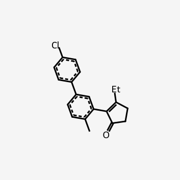 CCC1=C(c2cc(-c3ccc(Cl)cc3)ccc2C)C(=O)CC1